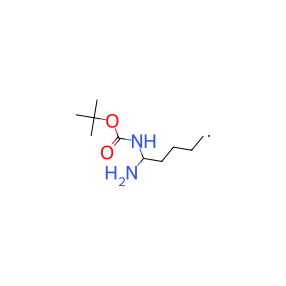 [CH2]CCCC(N)NC(=O)OC(C)(C)C